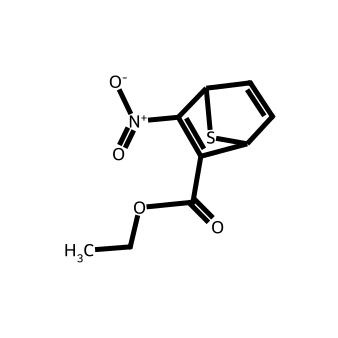 CCOC(=O)C1=C([N+](=O)[O-])C2C=CC1S2